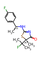 C[C@H](NC1=NC(=O)[C@](C)(C(C)(C)F)S1)c1ccc(F)cc1